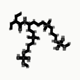 CCC(CC)C(=O)NC(CCC[N+](C)(C)CCCOS(=O)(=O)OC)CC[N+](C)(C)CCCOS(=O)(=O)OC